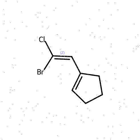 Cl/C(Br)=C/C1=CCCC1